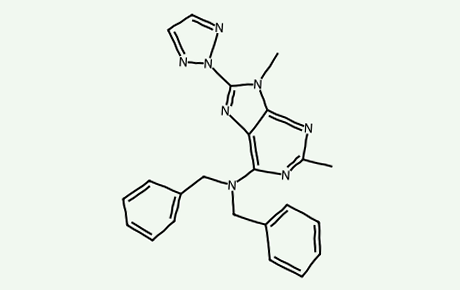 Cc1nc(N(Cc2ccccc2)Cc2ccccc2)c2nc(-n3nccn3)n(C)c2n1